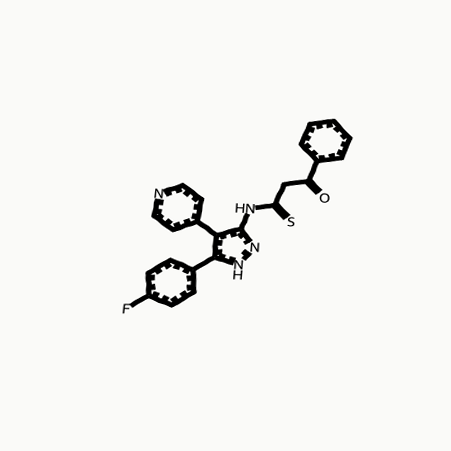 O=C(CC(=S)Nc1n[nH]c(-c2ccc(F)cc2)c1-c1ccncc1)c1ccccc1